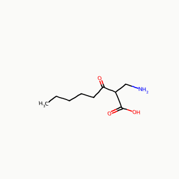 CCCCCC(=O)C(CN)C(=O)O